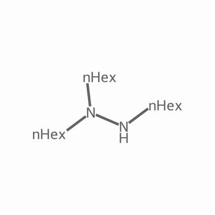 CCCCCCNN(CCCCCC)CCCCCC